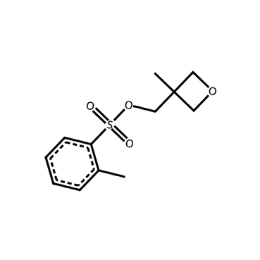 Cc1ccccc1S(=O)(=O)OCC1(C)COC1